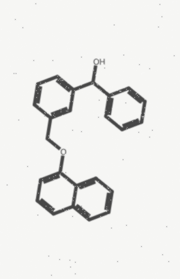 OC(c1ccccc1)c1cccc(COc2cccc3ccccc23)c1